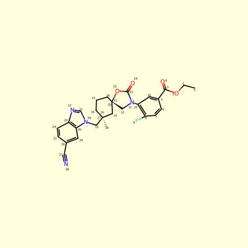 CCOC(=O)c1ccc(F)c(N2C[C@@]3(CCC[C@](C)(Cn4cnc5ccc(C#N)cc54)C3)OC2=O)c1